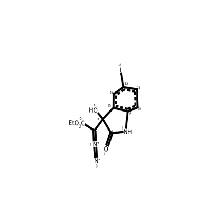 CCOC(=O)C(=[N+]=[N-])C1(O)C(=O)Nc2ccc(I)cc21